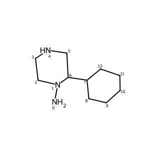 NN1CCNCC1C1CCCCC1